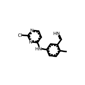 Cc1ccc(Nc2ccnc(Cl)n2)cc1C=N